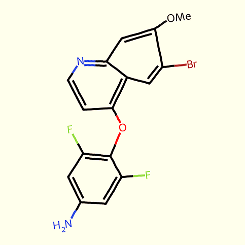 COc1cc2nccc(Oc3c(F)cc(N)cc3F)c2cc1Br